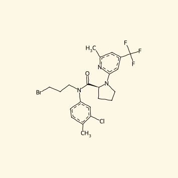 Cc1cc(C(F)(F)F)cc(N2CCC[C@H]2C(=O)N(CCCBr)c2ccc(C)c(Cl)c2)n1